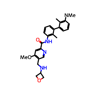 CNc1cccc(-c2cccc(NC(=O)c3cc(OC)c(CNC4COC4)cn3)c2C)c1C